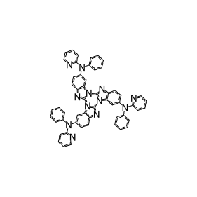 c1ccc(N(c2ccc3nc4n(c3c2)c2nc3ccc(N(c5ccccc5)c5ccccn5)cc3n2c2nc3ccc(N(c5ccccc5)c5ccccn5)cc3n42)c2ccccn2)cc1